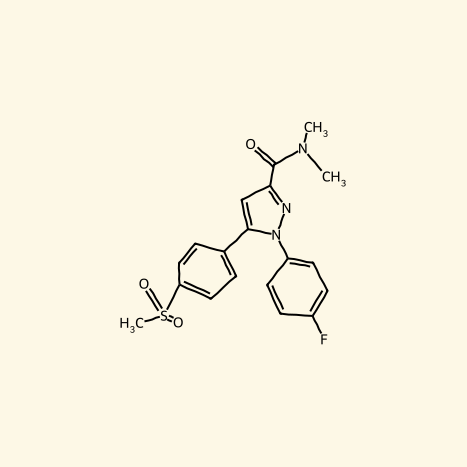 CN(C)C(=O)c1cc(-c2ccc(S(C)(=O)=O)cc2)n(-c2ccc(F)cc2)n1